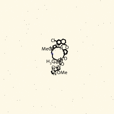 CO[C@H]1/C=C/C[C@H](C)C[S@@](=O)(NC(=O)N2CC(OC)(c3nccn3C)C2)=NC(=O)c2ccc3c(c2)N(C[C@@H]2CC[C@H]21)C[C@@]1(CCCc2cc(Cl)ccc21)CO3